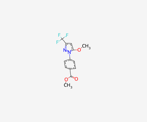 COC(=O)c1ccc(-n2nc(C(F)(F)F)cc2OC)cc1